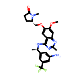 COc1cc2nc(C)nc(N[C@H](C)c3cc(N)cc(C(F)(F)F)c3)c2cc1OC[C@@H]1CCC(=O)N1C